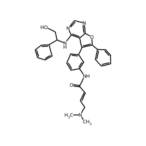 CN(C)CC=CC(=O)Nc1cccc(-c2c(-c3ccccc3)oc3ncnc(NC(CO)c4ccccc4)c23)c1